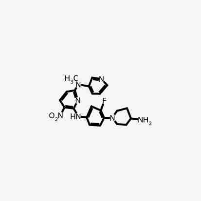 CN(c1cccnc1)c1ccc([N+](=O)[O-])c(Nc2ccc(N3CCC(N)CC3)c(F)c2)n1